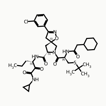 CCC[C@H](NC(=O)[C@@H]1C[C@]2(CC(c3cccc(Cl)c3)=NO2)CN1C(=O)[C@H](CSC(C)(C)C)NC(=O)CC1CCCCC1)C(=O)C(=O)NC1CC1